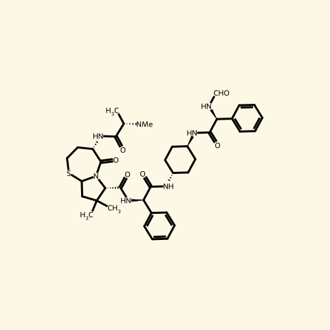 CN[C@@H](C)C(=O)N[C@H]1CCSC2CC(C)(C)[C@@H](C(=O)N[C@@H](C(=O)N[C@H]3CC[C@H](NC(=O)[C@@H](NC=O)c4ccccc4)CC3)c3ccccc3)N2C1=O